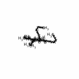 CCCCC/C=C\C/C=C\CCCCCCCC(=O)NCCCC(NC(=O)CCCCCCC/C=C\C/C=C\CCCCC)C(=O)OCCNC(=O)C(CCCNC(=O)CCCN(C)C)NC(=O)CCCN(C)C